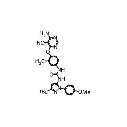 COc1ccc(-n2nc(C(C)(C)C)cc2NC(=O)Nc2ccc(Oc3ncnc(N)c3C#N)c(C)c2)cc1